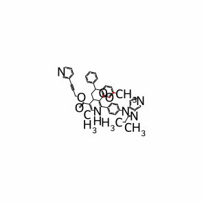 CCOC(=O)C1=C(c2ccc(-n3c(C(C)C)nc4cnccc43)cc2)NC(C)=C(C(=O)OCC#Cc2cccnc2)C1CC(c1ccccc1)c1ccccc1